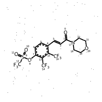 O=C(C=Cc1ccc(OS(=O)(=O)C(F)(F)F)c(C(F)(F)F)c1C(F)(F)F)N1CCOCC1